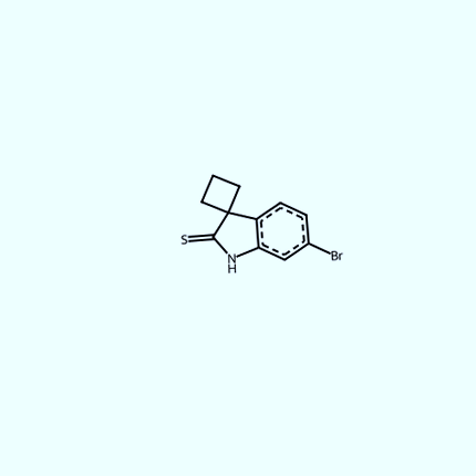 S=C1Nc2cc(Br)ccc2C12CCC2